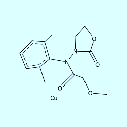 COCC(=O)N(c1c(C)cccc1C)N1CCOC1=O.[Cu]